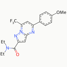 CCN(CC)C(=O)c1cc2nc(-c3ccc(OC)cc3)cc(C(F)(F)F)n2n1